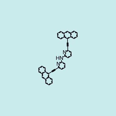 C(#Cc1c2ccccc2cc2ccccc12)c1cccc(Nc2cccc(C#Cc3c4ccccc4cc4ccccc34)n2)n1